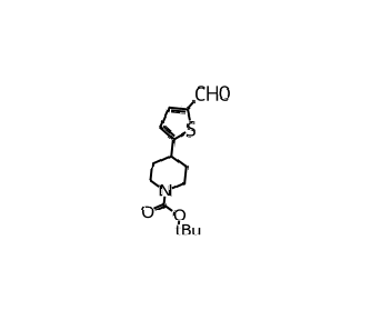 CC(C)(C)OC(=O)N1CCC(c2ccc(C=O)s2)CC1